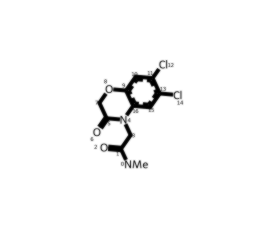 CNC(=O)CN1C(=O)COc2cc(Cl)c(Cl)cc21